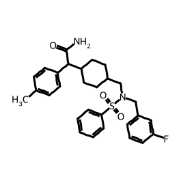 Cc1ccc(C(C(N)=O)C2CCC(CN(Cc3cccc(F)c3)S(=O)(=O)c3ccccc3)CC2)cc1